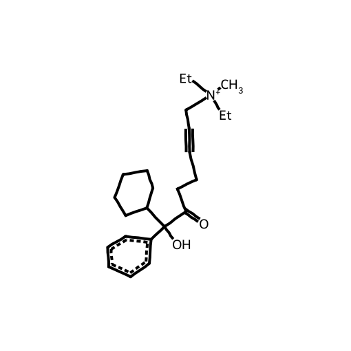 CC[N+](C)(CC)CC#CCCC(=O)C(O)(c1ccccc1)C1CCCCC1